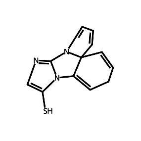 Sc1cnc2n1C1=CCC=CC13C=CC=CN23